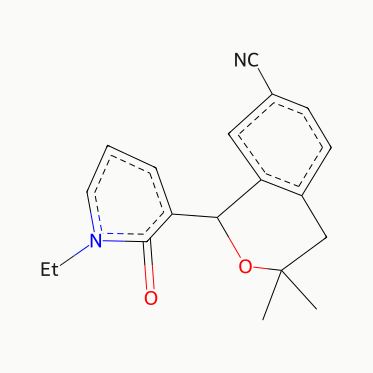 CCn1cccc(C2OC(C)(C)Cc3ccc(C#N)cc32)c1=O